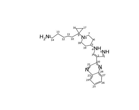 N=C/C(=C\NC1CCN(C2(CCCCCN)CC2)CC1)c1cnc2ccccc2n1